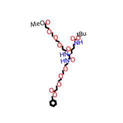 COC(=O)CCOCCOCCOCCC(=O)N[C@@H](CCCCNC(=O)OC(C)(C)C)C(=O)NCCOCCOCCOCCC(=O)OCc1ccccc1